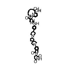 C[C@@]1(O)CC/C=C\Cn2c(=O)c3cnc(Nc4ccc(C5CCN(C6CCC7(CCN(c8ccc9c(c8)C(=O)N(C8CCC(=O)NC8=O)C9)CC7)C6)CC5)cc4)nc3n2-c2cccc1n2